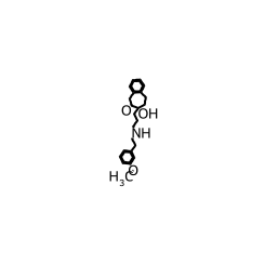 COc1cccc(CCNCCCC2(O)CCc3ccccc3CC2=O)c1